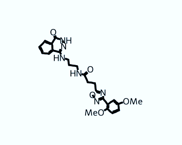 COc1ccc(OC)c(-c2noc(CCC(=O)NCCCNc3n[nH]c(=O)c4ccccc34)n2)c1